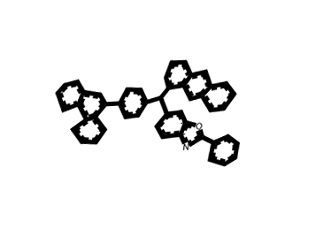 c1ccc(-c2nc3ccc(C(c4ccc(-c5cc6ccccc6c6ccccc56)cc4)c4cccc5cc6ccccc6cc45)cc3o2)cc1